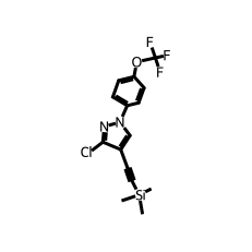 C[Si](C)(C)C#Cc1cn(-c2ccc(OC(F)(F)F)cc2)nc1Cl